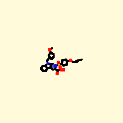 CC#CCOc1ccc(S(=O)(=O)NC(Cc2c(C)n(Cc3cccc(OC)c3)c3ccccc23)C(=O)O)cc1